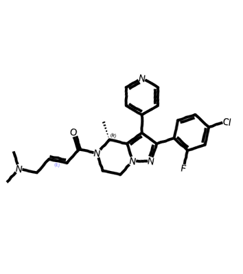 C[C@@H]1c2c(-c3ccncc3)c(-c3ccc(Cl)cc3F)nn2CCN1C(=O)/C=C/CN(C)C